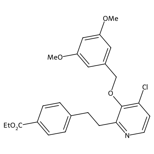 CCOC(=O)c1ccc(CCc2nccc(Cl)c2OCc2cc(OC)cc(OC)c2)cc1